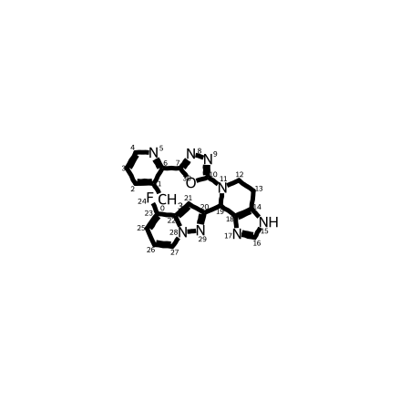 Cc1cccnc1-c1nnc(N2CCc3[nH]cnc3C2c2cc3c(F)cccn3n2)o1